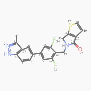 Cc1n[nH]c2ccc(-c3cc(F)c(CN4Cc5sccc5C4=O)c(F)c3)cc12